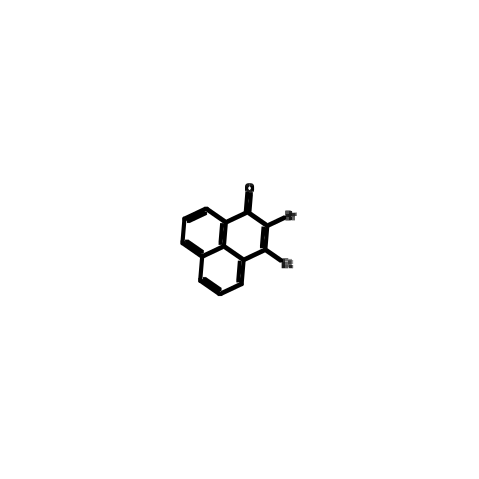 CCC1=C(Br)C(=O)c2cccc3cccc1c23